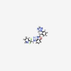 FC(F)(CNc1cccc2oc(Cc3ccccc3-n3cncn3)nc12)c1ccccn1